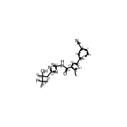 Cc1sc(-c2cccc(C#N)c2)cc1C(=O)Nc1nc(CC(C)(O)C(F)(F)F)ns1